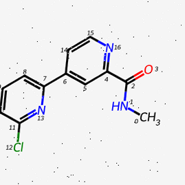 CNC(=O)c1cc(-c2cccc(Cl)n2)ccn1